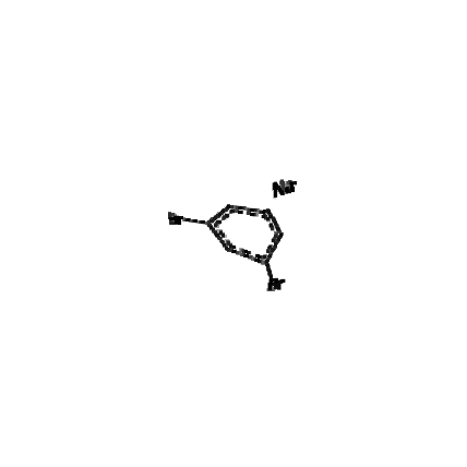 Brc1cccc(Br)c1.[Na]